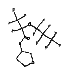 O=C(OC1CCOC1)C(F)(OC(F)(F)C(F)(F)C(F)(F)F)C(F)(F)F